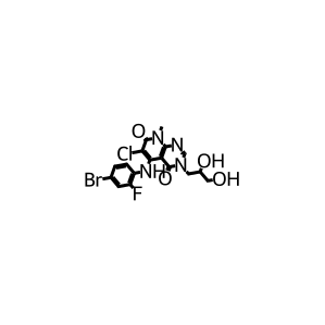 Cn1c(=O)c(Cl)c(Nc2ccc(Br)cc2F)c2c(=O)n(CC(O)CO)cnc21